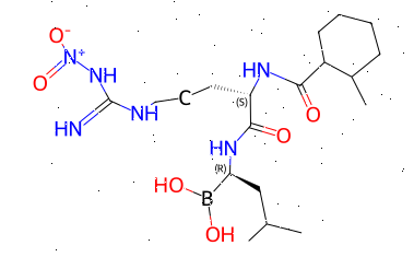 CC(C)C[C@H](NC(=O)[C@H](CCCNC(=N)N[N+](=O)[O-])NC(=O)C1CCCCC1C)B(O)O